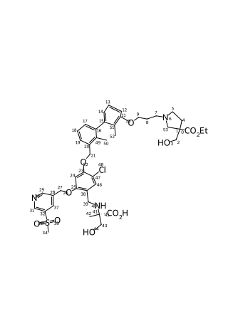 CCOC(=O)C1(CO)CCN(CCCOc2cccc(-c3cccc(COc4cc(OCc5cncc(S(C)(=O)=O)c5)c(CN[C@](C)(CO)C(=O)O)cc4Cl)c3C)c2C)C1